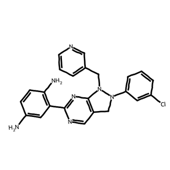 Nc1ccc(N)c(-c2ncc3c(n2)N(Cc2cccnc2)N(c2cccc(Cl)c2)C3)c1